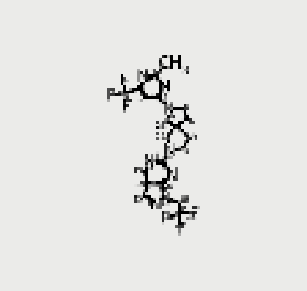 Cc1nc(N2CCC3(CCN(c4ncc5cnn(CC(F)(F)F)c5n4)C3)C2)cc(C(F)(F)F)n1